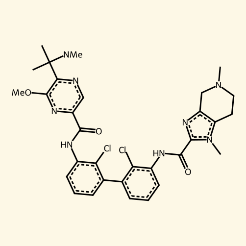 CNC(C)(C)c1ncc(C(=O)Nc2cccc(-c3cccc(NC(=O)c4nc5c(n4C)CCN(C)C5)c3Cl)c2Cl)nc1OC